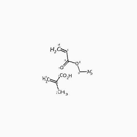 C=C(C)C(=O)O.C=CC(=O)OCC(C)=O